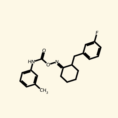 Cc1cccc(NC(=O)O/N=C2\CCCCC2Cc2cccc(F)c2)c1